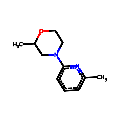 Cc1cccc(N2CCOC(C)C2)n1